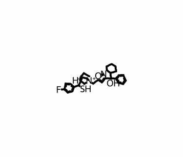 OC(c1ccccc1)(c1cc(C[N+]23CCC(CC2)[C@H](C(S)c2ccc(F)cc2)C3)on1)C1CCCCC1